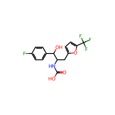 O=C(O)NC(Cc1ccc(C(F)(F)F)o1)C(O)c1ccc(F)cc1